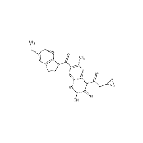 CCc1cnc2c(c1)CCN2C(=O)c1cc2c(cc1C)N(C(=N)CC1CC1)C(=N)C(O)N2